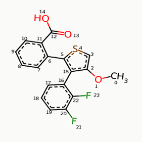 COc1csc(-c2ccccc2C(=O)O)c1-c1cccc(F)c1F